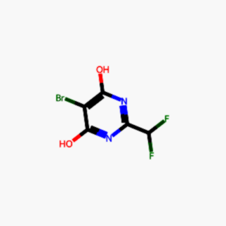 Oc1nc(C(F)F)nc(O)c1Br